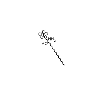 CCCCCCCCCCCCCC=CC(O)C(N)COC(=O)C(Cl)(Cl)Cl